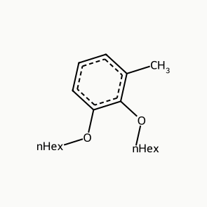 CCCCCCOc1cccc(C)c1OCCCCCC